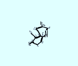 Cc1c(I)ccc2ncc(F)cc12